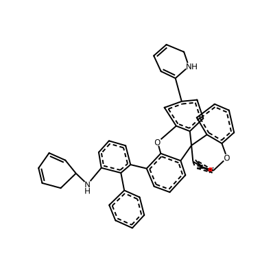 C1=CCNC(c2ccc3c(c2)Oc2c(-c4cccc(NC5C=CC=CC5)c4-c4ccccc4)cccc2C32c3ccccc3Oc3ccccc32)=C1